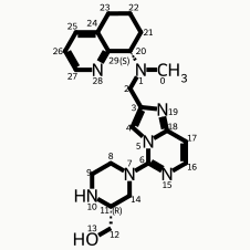 CN(Cc1cn2c(N3CCN[C@@H](CO)C3)nccc2n1)[C@H]1CCCc2cccnc21